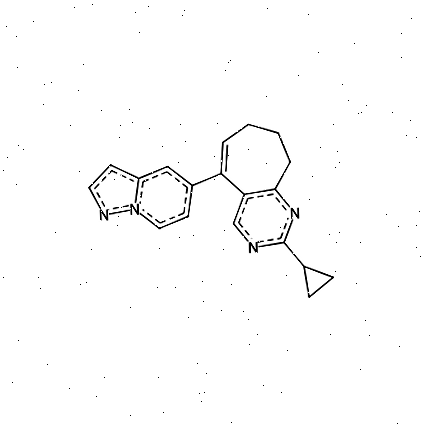 C1=C(c2ccn3nccc3c2)c2cnc(C3CC3)nc2CCC1